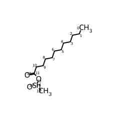 CCCCCCCCCCCC(=O)[O][Sn]([CH3])=[O]